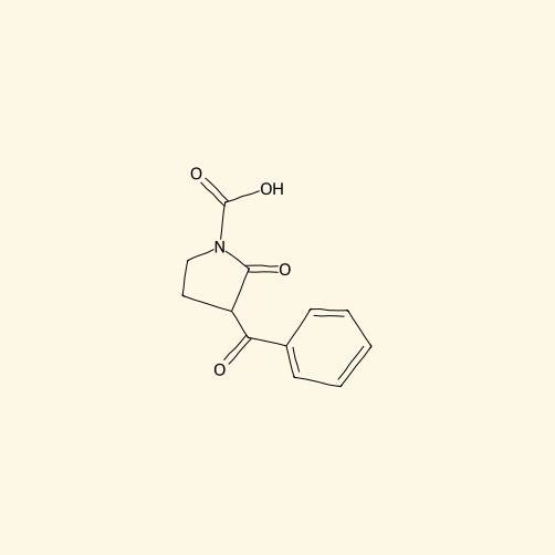 O=C(c1ccccc1)C1CCN(C(=O)O)C1=O